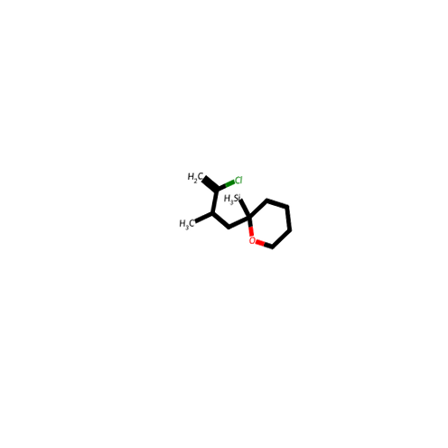 C=C(Cl)C(C)CC1([SiH3])CCCCO1